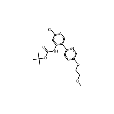 COCCOc1ccc(-c2cnc(Cl)cc2NC(=O)OC(C)(C)C)nc1